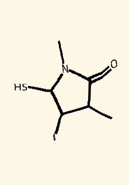 CC1C(=O)N(C)C(S)C1I